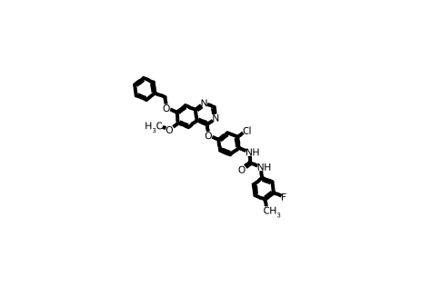 COc1cc2c(Oc3ccc(NC(=O)Nc4ccc(C)c(F)c4)c(Cl)c3)ncnc2cc1OCc1ccccc1